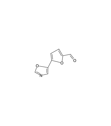 O=Cc1ccc(-c2cnco2)o1